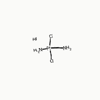 I.[NH2][Pt]([NH2])([Cl])[Cl]